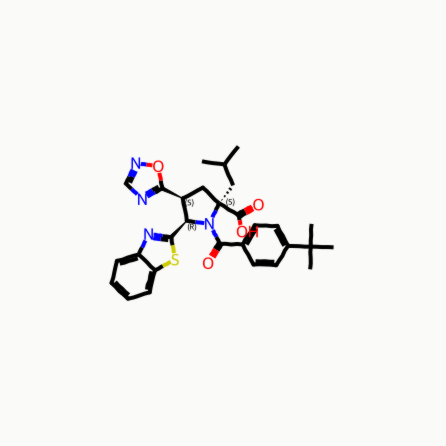 CC(C)C[C@@]1(C(=O)O)C[C@H](c2ncno2)[C@H](c2nc3ccccc3s2)N1C(=O)c1ccc(C(C)(C)C)cc1